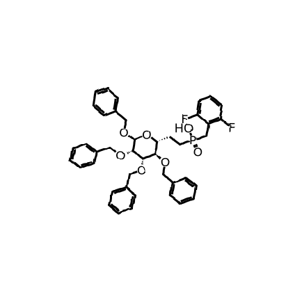 O=P(O)(CC[C@H]1OC(OCc2ccccc2)[C@@H](OCc2ccccc2)[C@@H](OCc2ccccc2)[C@@H]1OCc1ccccc1)Cc1c(F)cccc1F